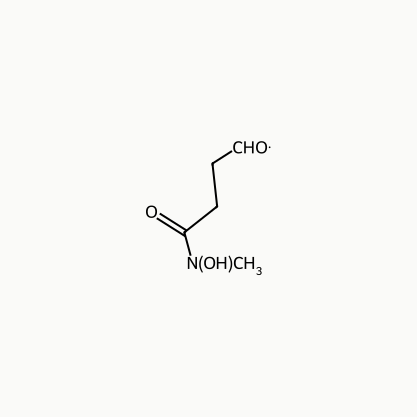 CN(O)C(=O)CC[C]=O